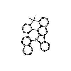 CC1(C)c2ccccc2-c2c3c1cccc3cc1c3ccccc3n(-c3cccc4ccccc34)c21